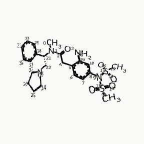 CN(C(=O)Cc1ccc(N(S(C)(=O)=O)S(C)(=O)=O)cc1N)[C@H](CN1CCCC1)c1ccccc1